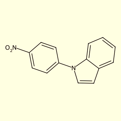 O=[N+]([O-])c1ccc(-n2ccc3ccccc32)cc1